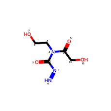 N=NC(=O)N(CCO)C(=O)CO